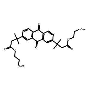 CCCCCCCCCCCCOC(=O)CC(C)(C)c1ccc2c(c1)C(=O)c1cc(C(C)(C)CC(=O)OCCCCCCCCCCCC)ccc1C2=O